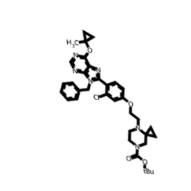 CC(C)(C)OC(=O)N1CCN(CCOc2ccc(-c3nc4c(OC5(C)CC5)ncnc4n3Cc3ccccc3)c(Cl)c2)C2(CC2)C1